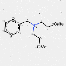 COCCN(CCOC)Cc1cc[c]cc1